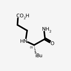 CCC(C)[C@H](NCCC(=O)O)C(N)=O